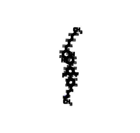 C/C=C/CCc1ccc(-c2c(F)cc([C@@H]3CC[C@@H]4CC(CCCCCCC)CC[C@@H]4C3)cc2F)cc1